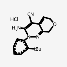 CC(C)(C)c1ccccc1N1N=C2COCC=C2C(C#N)=C1N.Cl